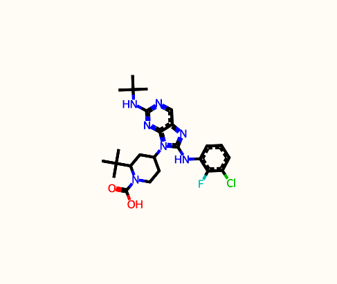 CC(C)(C)Nc1ncc2nc(Nc3cccc(Cl)c3F)n(C3CCN(C(=O)O)C(C(C)(C)C)C3)c2n1